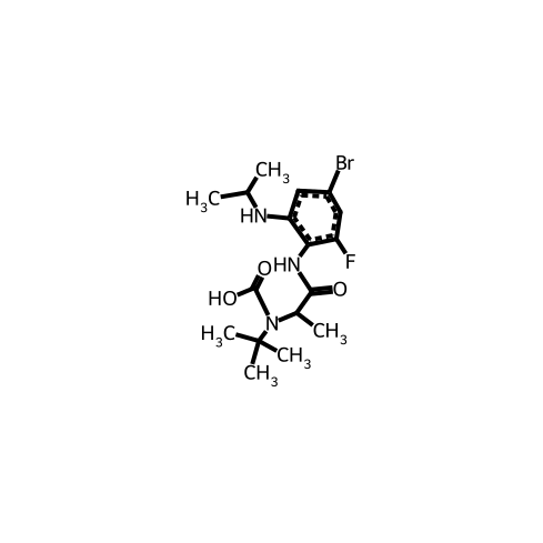 CC(C)Nc1cc(Br)cc(F)c1NC(=O)C(C)N(C(=O)O)C(C)(C)C